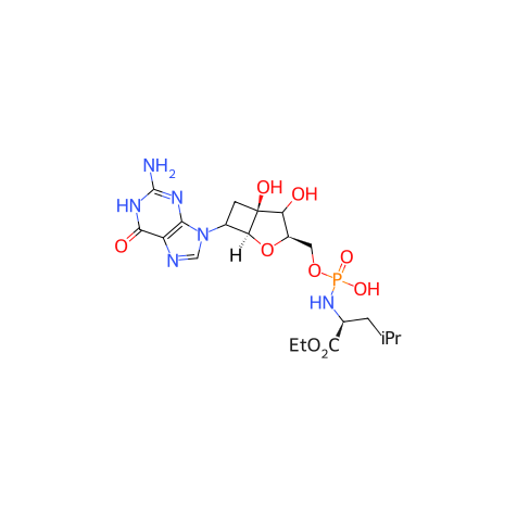 CCOC(=O)[C@H](CC(C)C)NP(=O)(O)OC[C@H]1O[C@H]2C(n3cnc4c(=O)[nH]c(N)nc43)C[C@]2(O)C1O